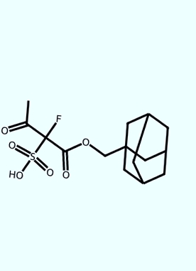 CC(=O)C(F)(C(=O)OCC12CC3CC(CC(C3)C1)C2)S(=O)(=O)O